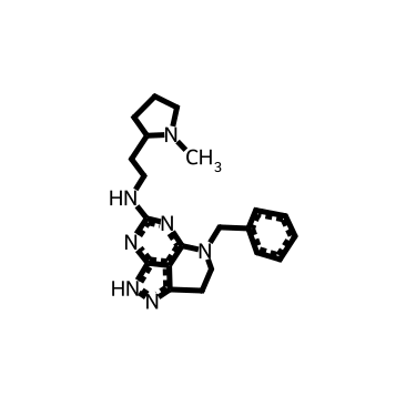 CN1CCCC1CCNc1nc2c3c(n[nH]c3n1)CCN2Cc1ccccc1